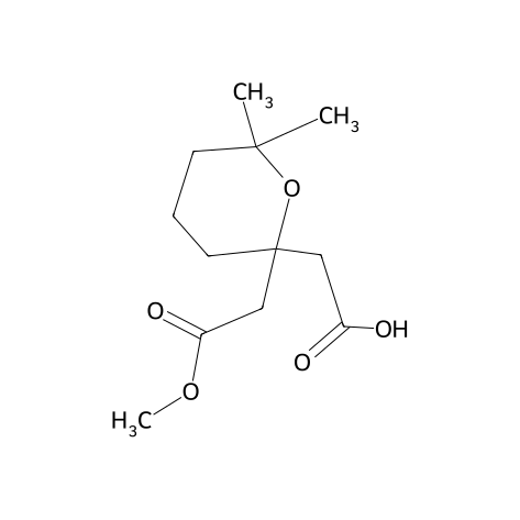 COC(=O)CC1(CC(=O)O)CCCC(C)(C)O1